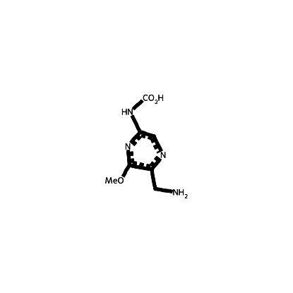 COc1nc(NC(=O)O)cnc1CN